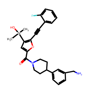 C[Si](C)(O)c1cc(C(=O)N2CCC(c3cccc(CN)c3)CC2)oc1C#Cc1ccccc1F